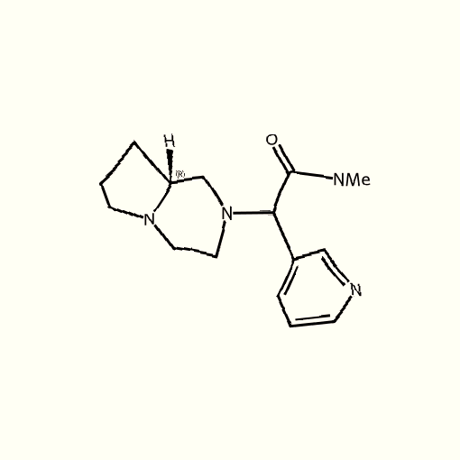 CNC(=O)C(c1cccnc1)N1CCN2CCC[C@@H]2C1